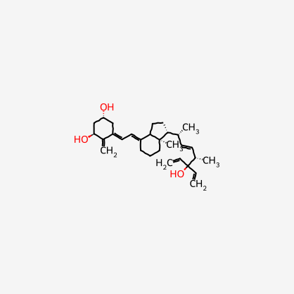 C=CC(O)(C=C)[C@@H](C)/C=C/[C@@H](C)[C@H]1CCC2C(=CC=C3C[C@@H](O)C[C@H](O)C3=C)CCC[C@@]21C